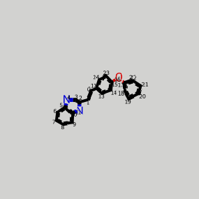 C(=C\c1cnc2ccccc2n1)/c1ccc(Oc2ccccc2)cc1